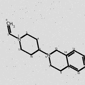 C=CN1CCC(N2CCc3ccccc3C2)CC1